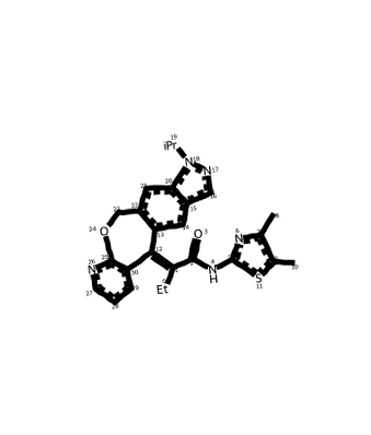 CCC(C(=O)Nc1nc(C)c(C)s1)=C1c2cc3cnn(C(C)C)c3cc2COc2ncccc21